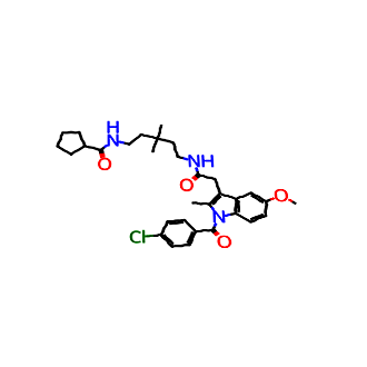 COc1ccc2c(c1)c(CC(=O)NCCC(C)(C)CCNC(=O)C1CCCC1)c(C)n2C(=O)c1ccc(Cl)cc1